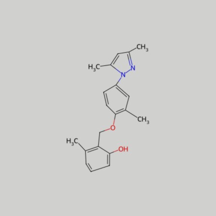 Cc1cc(C)n(-c2ccc(OCc3c(C)cccc3O)c(C)c2)n1